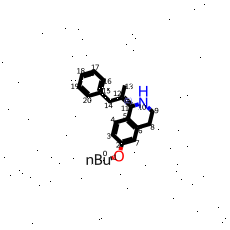 CCCCOc1ccc2c(c1)CCN/C2=C(\C)Cc1ccccc1